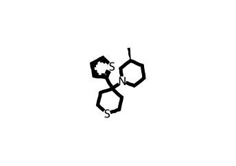 C[C@H]1CCCN(C2(c3cccs3)CCSCC2)C1